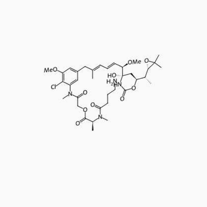 COc1cc(C/C(C)=C/C=C/[C@@H](OC)[C@@]2(O)C[C@@H]([C@@H](C)[C@@H]3OC3(C)C)OC(=O)N2)cc(N(C)C(=O)COC(=O)[C@H](C)N(C)C(=O)CCCN)c1Cl